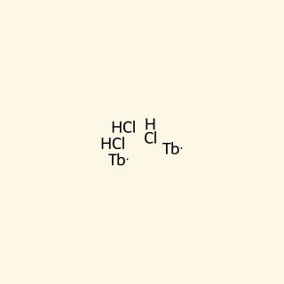 Cl.Cl.Cl.[Tb].[Tb]